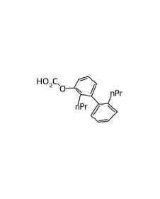 CCCc1ccccc1-c1cccc(OC(=O)O)c1CCC